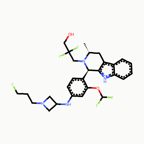 C[C@@H]1Cc2c([nH]c3ccccc23)[C@@H](c2ccc(NC3CN(CCCF)C3)cc2OC(F)F)N1CC(F)(F)CO